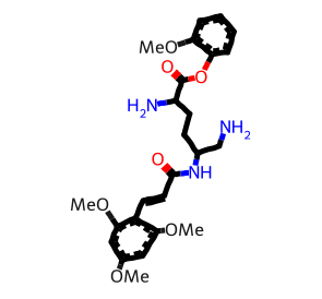 COc1cc(OC)c(C=CC(=O)NC(CN)CCC(N)C(=O)Oc2ccccc2OC)c(OC)c1